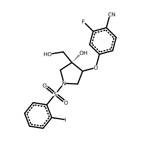 N#Cc1ccc(OC2CN(S(=O)(=O)c3ccccc3I)C[C@@]2(O)CO)cc1F